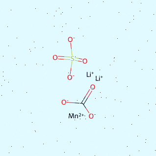 O=C([O-])[O-].O=S(=O)([O-])[O-].[Li+].[Li+].[Mn+2]